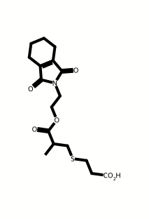 CC(CSCCC(=O)O)C(=O)OCCN1C(=O)C2=C(CCCC2)C1=O